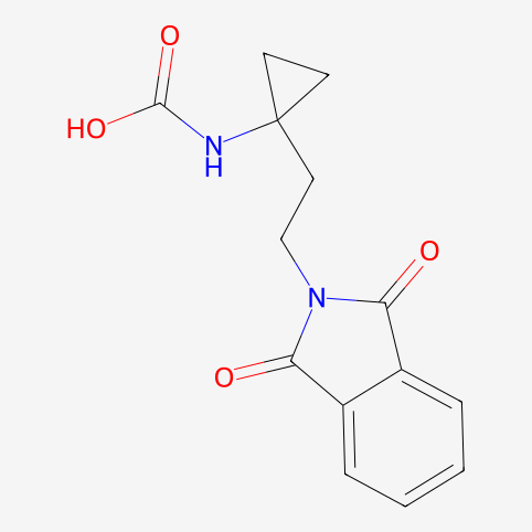 O=C(O)NC1(CCN2C(=O)c3ccccc3C2=O)CC1